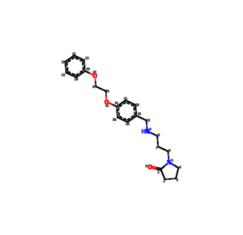 O=C1CCCN1CCCNCc1ccc(OCCOc2ccccc2)cc1